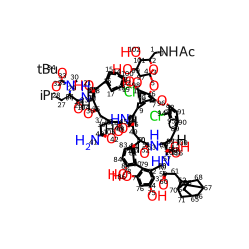 CC(=O)NCC1OC(Oc2c3cc4cc2Oc2ccc(cc2Cl)[C@@H](O)[C@@H](NC(=O)[C@@H](CC(C)C)N(C)C(=O)OC(C)(C)C)C(=O)C[C@@H](CC(N)=O)C(=O)N[C@H]4C(=O)C[C@H]2C(=O)N[C@H](C(=O)N[C@H](C(=O)CC4C5CC6CC(C5)CC4C6)c4cc(O)cc(O)c4-c4cc2ccc4O)[C@H](O)c2ccc(c(Cl)c2)O3)C(O)C(O)C1O